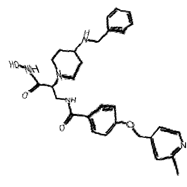 Cc1cc(COc2ccc(C(=O)NCC(C(=O)NO)N3CCC(NCc4ccccc4)CC3)cc2)ccn1